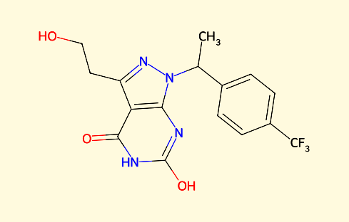 CC(c1ccc(C(F)(F)F)cc1)n1nc(CCO)c2c(=O)[nH]c(O)nc21